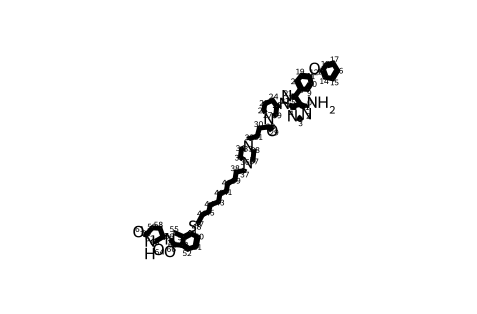 Nc1ncnc2c1c(-c1ccc(Oc3ccccc3)cc1)nn2C1CCCN(C(=O)CCCN2CCN(CCCCCCCCCCCSc3cccc4c3CN(C3CCC(=O)NC3=O)C4=O)CC2)C1